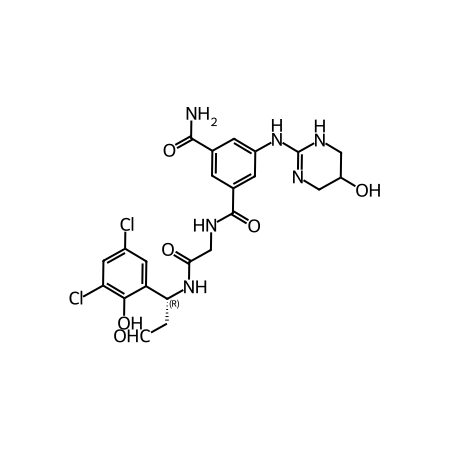 NC(=O)c1cc(NC2=NCC(O)CN2)cc(C(=O)NCC(=O)N[C@H](CC=O)c2cc(Cl)cc(Cl)c2O)c1